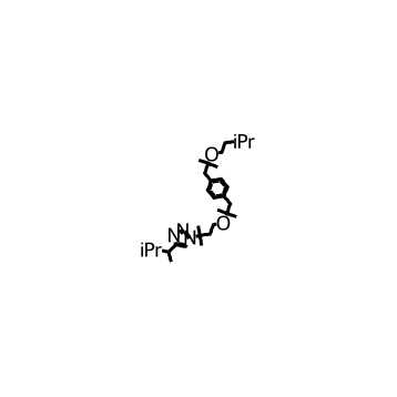 CC(C)CCOC(C)(C)Cc1ccc(CC(C)(C)OCCC(C)(C)n2cc(C(C)C(C)C)nn2)cc1